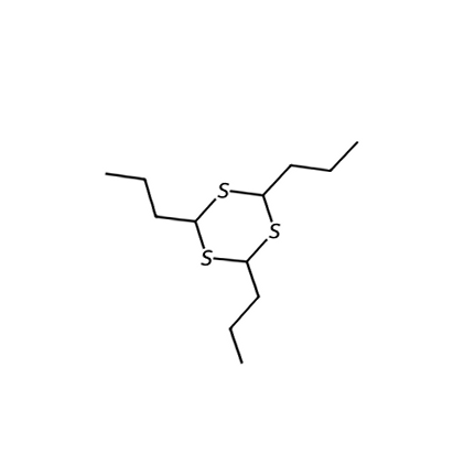 CCCC1SC(CCC)SC(CCC)S1